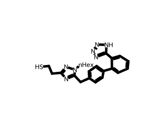 CCCCCCn1nc(CCS)nc1Cc1ccc(-c2ccccc2-c2nnn[nH]2)cc1